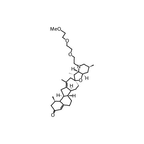 COCCOCCOCCN1C[C@@H](C)C[C@H]2O[C@]3(CC[C@@H]4C(=C(C)C3)C[C@@H]3C5C(=CC(=O)C[C@H]5C)CC[C@@H]43)[C@H](C)[C@@H]21